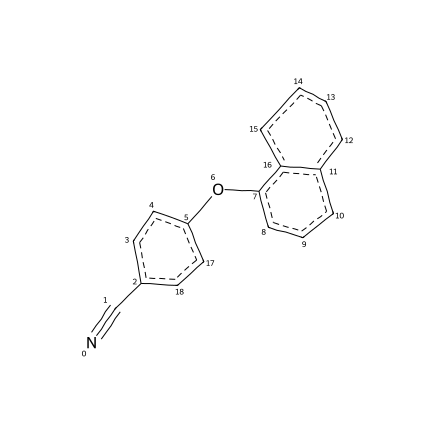 N#Cc1ccc(Oc2cccc3ccccc23)cc1